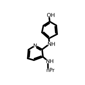 CCCNc1cccnc1Nc1ccc(O)cc1